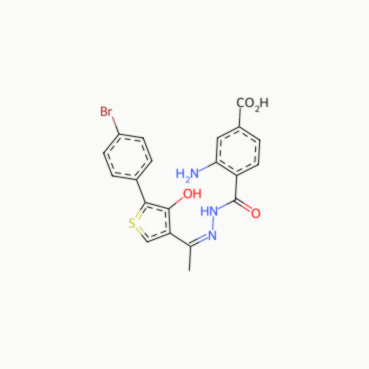 CC(=NNC(=O)c1ccc(C(=O)O)cc1N)c1csc(-c2ccc(Br)cc2)c1O